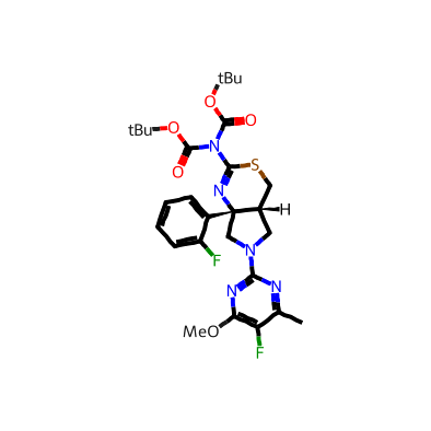 COc1nc(N2C[C@H]3CSC(N(C(=O)OC(C)(C)C)C(=O)OC(C)(C)C)=N[C@@]3(c3ccccc3F)C2)nc(C)c1F